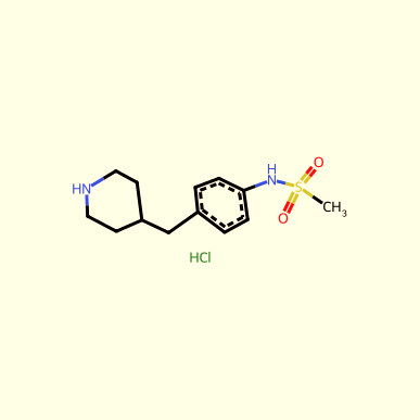 CS(=O)(=O)Nc1ccc(CC2CCNCC2)cc1.Cl